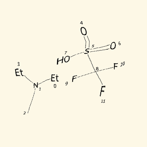 CCN(C)CC.O=S(=O)(O)C(F)(F)F